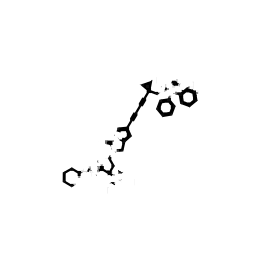 CC(C)(C)[Si](OCC1(C#CC#Cc2cc3n(c2)C(=O)N(CC[C@](C)(C(=O)NOC2CCCCO2)S(C)(=O)=O)C3)CC1)(c1ccccc1)c1ccccc1